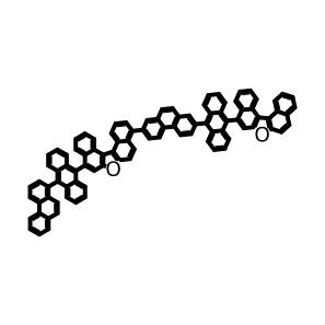 c1ccc2c(c1)ccc1c(-c3c4ccccc4c(-c4cc5oc6ccc7c(-c8ccc9c(ccc%10cc(-c%11c%12ccccc%12c(-c%12cc%13oc%14ccc%15ccccc%15c%14c%13c%13ccccc%12%13)c%12ccccc%11%12)ccc%109)c8)cccc7c6c5c5ccccc45)c4ccccc34)cccc12